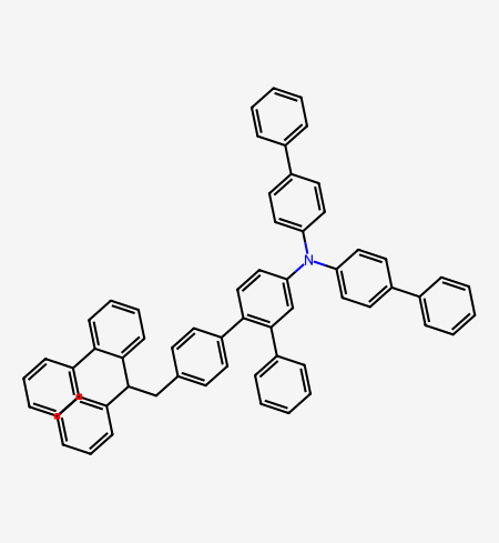 c1ccc(-c2ccc(N(c3ccc(-c4ccccc4)cc3)c3ccc(-c4ccc(CC(c5ccccc5)c5ccccc5-c5ccccc5)cc4)c(-c4ccccc4)c3)cc2)cc1